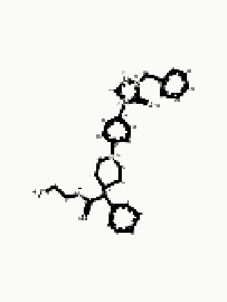 CCCNC(=O)C(c1ccccc1)C1CCN(c2ccc(-n3cnn(Cc4ccccc4)c3=O)cc2)CC1